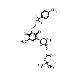 Cc1ccc(S(=O)(=O)OCCn2c(=O)c(C)cn(C3C[C@H](F)[C@@H](COC(=O)OC(C)(C)C)O3)c2=O)cc1